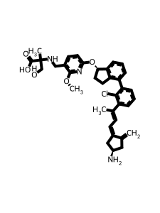 C=C1C[C@@H](N)C/C1=C/C=C(\C)c1cccc(-c2cccc3c2CC[C@@H]3Oc2ccc(CNC(C)(CO)C(=O)O)c(OC)n2)c1Cl